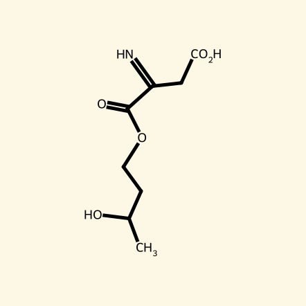 CC(O)CCOC(=O)C(=N)CC(=O)O